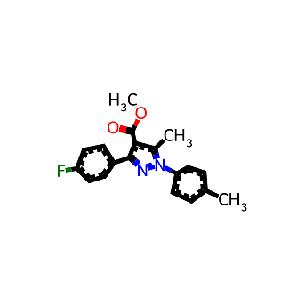 COC(=O)c1c(-c2ccc(F)cc2)nn(-c2ccc(C)cc2)c1C